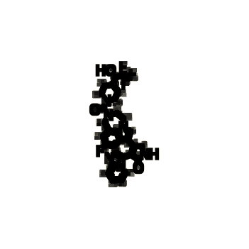 O=C1NCC(c2cn3c4c(cc(F)cc24)CN(C(=O)N2CCC(C(O)C(F)(F)F)CC2)CC3)=C1c1cnc2ccccn12